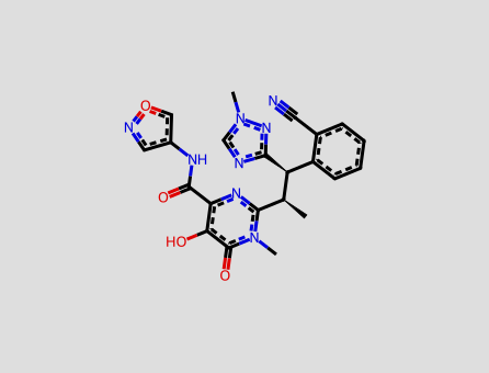 C[C@@H](c1nc(C(=O)Nc2cnoc2)c(O)c(=O)n1C)[C@@H](c1ncn(C)n1)c1ccccc1C#N